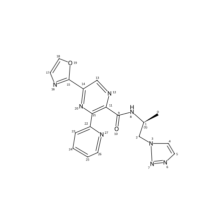 C[C@@H](Cn1ccnn1)NC(=O)c1ncc(-c2ncco2)nc1-c1ccccn1